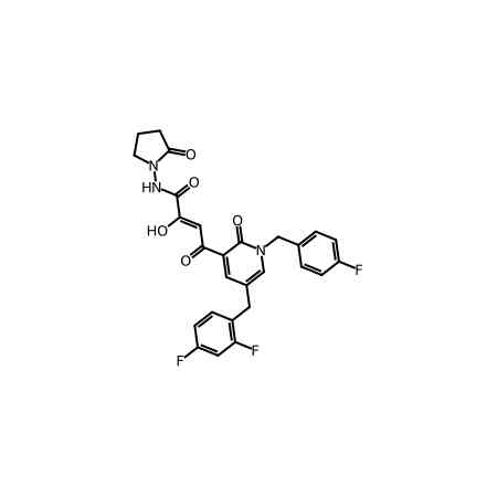 O=C(NN1CCCC1=O)/C(O)=C/C(=O)c1cc(Cc2ccc(F)cc2F)cn(Cc2ccc(F)cc2)c1=O